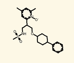 Cc1cc(C)[n+]([O-])c(C(CNS(C)(=O)=O)COC2CCC(c3ccccc3)CC2)c1